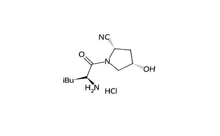 CC[C@H](C)[C@H](N)C(=O)N1C[C@@H](O)C[C@H]1C#N.Cl